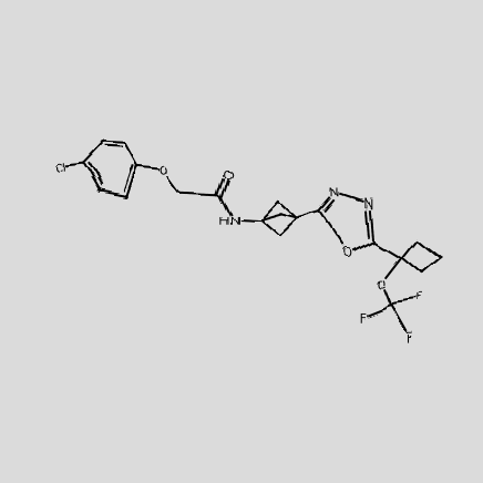 O=C(COc1ccc(Cl)cc1)NC12CC(c3nnc(C4(OC(F)(F)F)CCC4)o3)(C1)C2